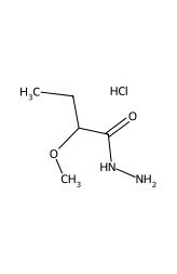 CCC(OC)C(=O)NN.Cl